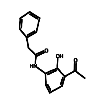 CC(=O)c1cccc(NC(=O)Cc2ccccc2)c1O